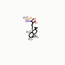 CC1(C)CCC[C@@]2(C)[C@H]1CCC1(CC1)[C@@H]2CC/C=C1\C(=O)OCC1NS(C)(=O)=O